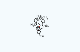 CC(C)(C)c1ccc2c(c1)-c1cc(C(C)(C)C)c(C3=CC([Si](C)(C)C)=CC3)c(CC(C)(c3ccccc3)c3ccccc3)c1C2